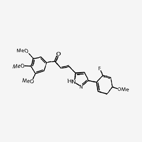 COc1cc(C(=O)/C=C/c2cc(C3=CCC(OC)C=C3F)n[nH]2)cc(OC)c1OC